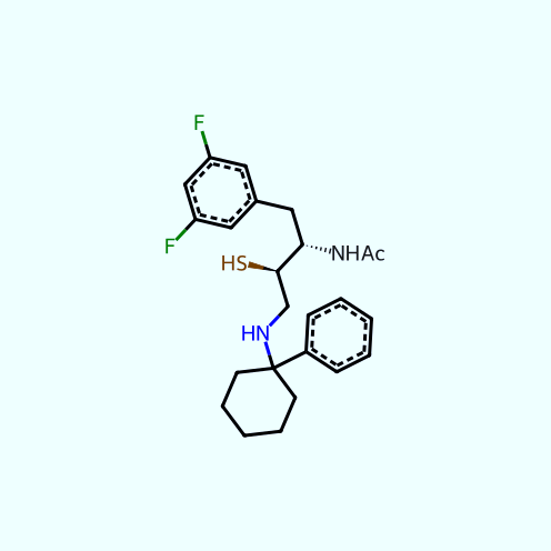 CC(=O)N[C@@H](Cc1cc(F)cc(F)c1)[C@H](S)CNC1(c2ccccc2)CCCCC1